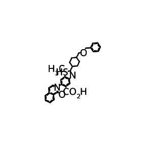 C[SH]1C(C2CCC(COCc3ccccc3)CC2)=Nc2cc(C(=O)O)c(-n3ccc4ccccc4c3=O)cc21